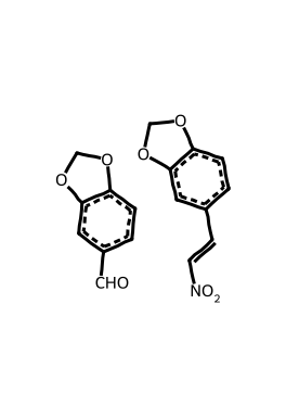 O=Cc1ccc2c(c1)OCO2.O=[N+]([O-])C=Cc1ccc2c(c1)OCO2